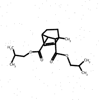 CC(C)COC(=O)C1C2C=CC(C)(CC2)C1C(=O)OCC(C)C